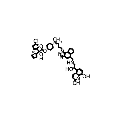 CN(CCCn1nnc2cc(CNC[C@H](O)c3ccc(O)c4[nH]c(=O)ccc34)c3c(c21)CCC3)[C@H]1CC[C@H](OC(=O)[C@@](O)(c2cccs2)c2ccc(Cl)s2)CC1